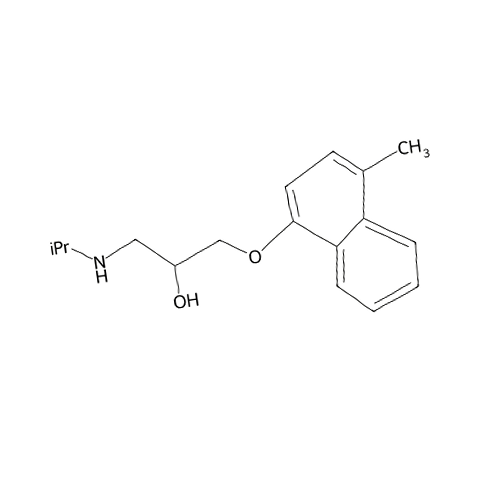 Cc1ccc(OCC(O)CNC(C)C)c2ccccc12